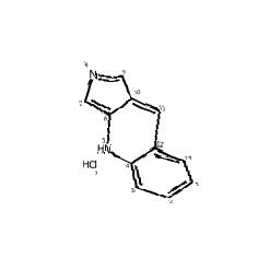 Cl.c1ccc2[nH]c3cncc-3cc2c1